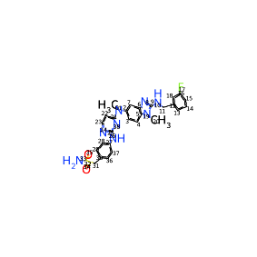 CN(c1ccc2c(c1)nc(NCc1cccc(F)c1)n2C)c1ccnc(Nc2ccc(CS(N)(=O)=O)cc2)n1